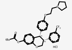 CC(C)(C)C(=O)Oc1ccc2c(c1)OC[C@@H](c1cccc(C(F)(F)F)c1)[C@H]2c1ccc(OCCN2CCCC2)cc1.Cl